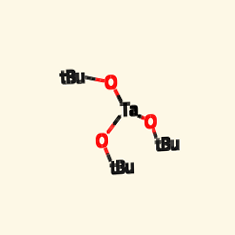 CC(C)(C)[O][Ta]([O]C(C)(C)C)[O]C(C)(C)C